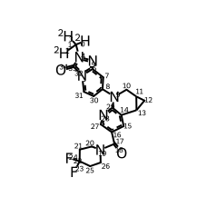 [2H]C([2H])([2H])n1nc2cc(N3CC4CC4c4cc(C(=O)N5CCC(F)(F)CC5)cnc43)ccn2c1=O